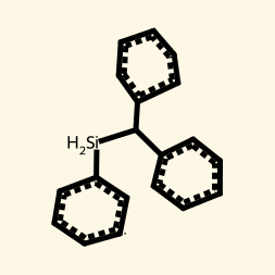 [c]1cccc([SiH2]C(c2ccccc2)c2ccccc2)c1